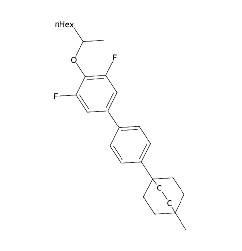 CCCCCCC(C)Oc1c(F)cc(-c2ccc(C34CCC(C)(CC3)CC4)cc2)cc1F